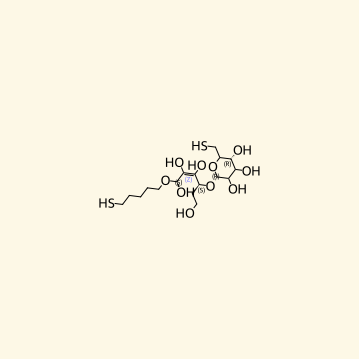 OCC[C@H](O[C@@H]1OC(CS)[C@H](O)C(O)C1O)/C(O)=C(/O)[C@@H](O)OCCCCCS